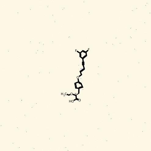 CCO[C@@H](Cc1ccc(OC/C=C/C#Cc2cc(F)cc(F)c2)cc1)C(=O)O